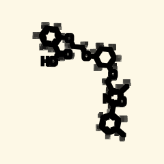 Cc1cccc(-c2nc(COC3CCCC(OCCOc4ccccc4C(=O)O)C3)c(C)o2)c1